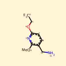 COc1nc(OCC(F)(F)F)ccc1CN